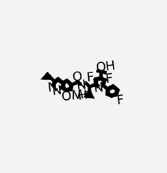 COc1cc(C(=O)NCC(c2nc(-c3ccc(F)cc3)c(F)c(C(C)(C)O)c2F)C2CC2)cc2cc(C3CC3)nnc12